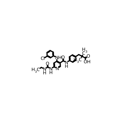 CCNC(=O)Nc1cc(Nc2cccc(Cl)c2)c(C(=O)Nc2ccc(CC(C)(C)C(=O)O)cc2)cn1